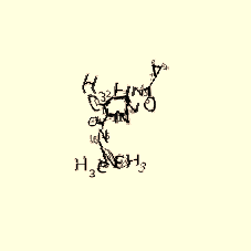 Cc1cc(NC(=O)C2CC2)nnc1C(=O)/N=C/N(C)C